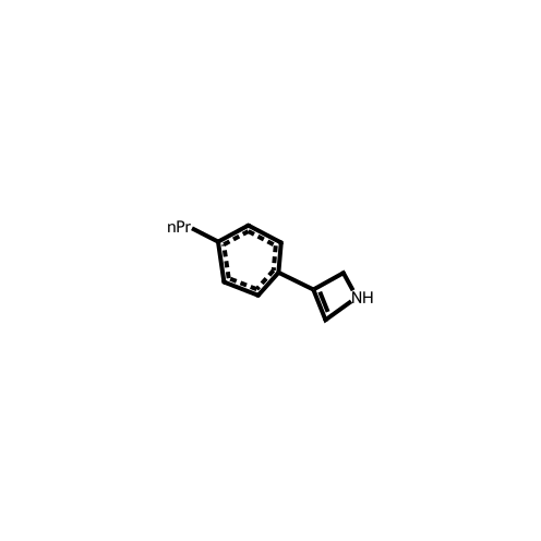 CCCc1ccc(C2=CNC2)cc1